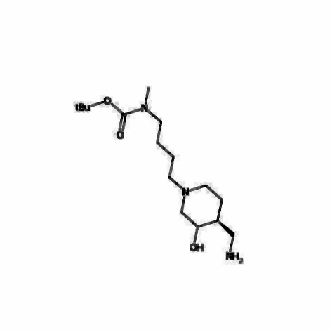 CN(CCCCN1CC[C@@H](CN)C(O)C1)C(=O)OC(C)(C)C